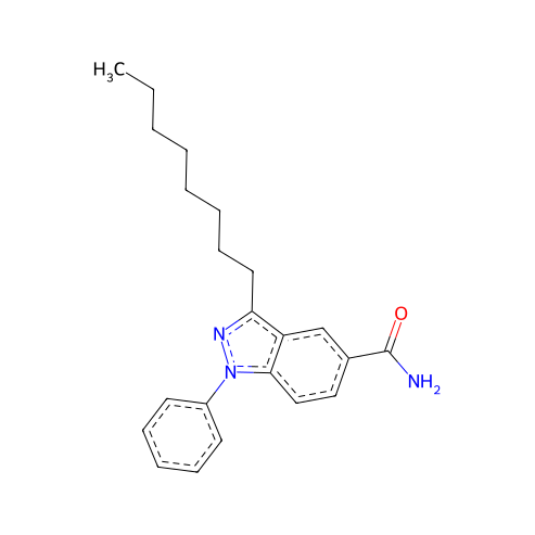 CCCCCCCCc1nn(-c2ccccc2)c2ccc(C(N)=O)cc12